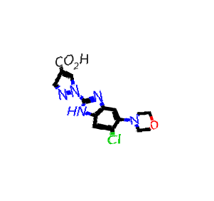 O=C(O)c1cnn(-c2nc3cc(N4CCOCC4)c(Cl)cc3[nH]2)c1